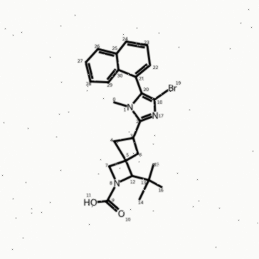 Cn1c(C2CC3(C2)CN(C(=O)O)C3C(C)(C)C)nc(Br)c1-c1cccc2ccccc12